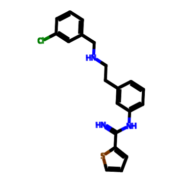 N=C(Nc1cccc(CCNCc2cccc(Cl)c2)c1)c1cccs1